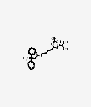 CC(CC(=O)OCCCCC(CON(O)O)ON(O)O)(c1ccccc1)c1ccccc1